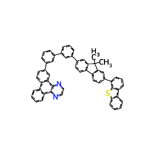 CC1(C)c2cc(-c3cccc(-c4cccc(-c5ccc6c7ccccc7c7nccnc7c6c5)c4)c3)ccc2-c2ccc(-c3cccc4c3sc3ccccc34)cc21